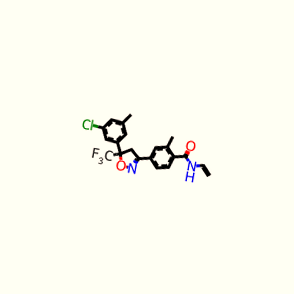 C=CNC(=O)c1ccc(C2=NOC(c3cc(C)cc(Cl)c3)(C(F)(F)F)C2)cc1C